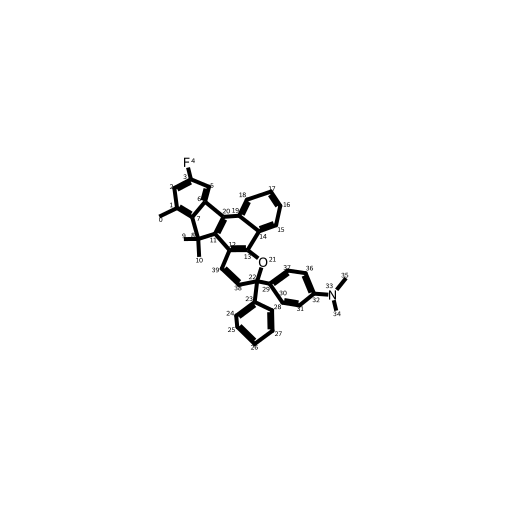 Cc1cc(F)cc2c1C(C)(C)c1c3c(c4ccccc4c1-2)OC(c1ccccc1)(c1ccc(N(C)C)cc1)C=C3